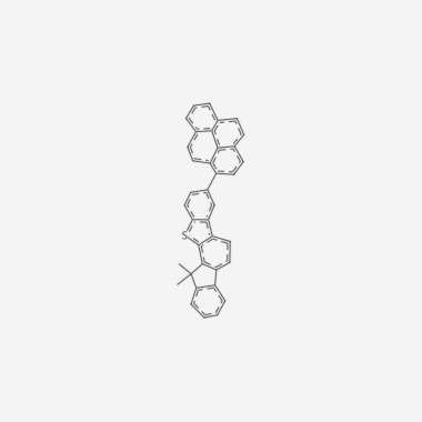 CC1(C)c2ccccc2-c2ccc3c(sc4ccc(-c5ccc6ccc7cccc8ccc5c6c78)cc43)c21